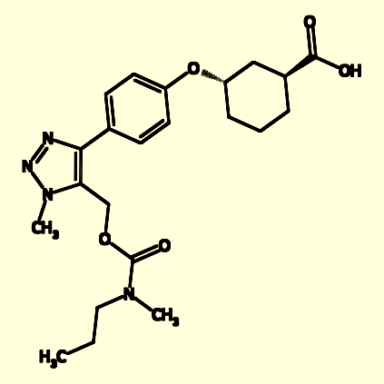 CCCN(C)C(=O)OCc1c(-c2ccc(O[C@H]3CCC[C@H](C(=O)O)C3)cc2)nnn1C